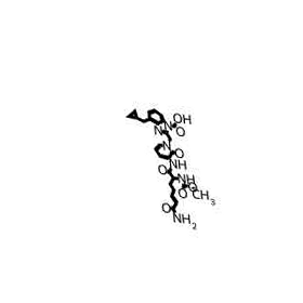 COC(=O)NC(CCC=CC(N)=O)C(=O)Nc1cccn(Cc2nc3c(CC4CC4)cccc3n2C(=O)O)c1=O